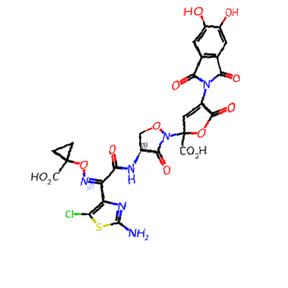 Nc1nc(/C(=N/OC2(C(=O)O)CC2)C(=O)N[C@H]2CON(C3(C(=O)O)C=C(N4C(=O)c5cc(O)c(O)cc5C4=O)C(=O)O3)C2=O)c(Cl)s1